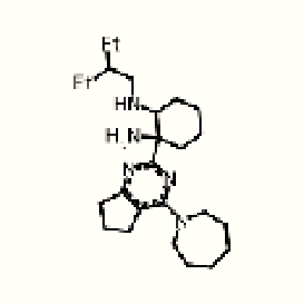 CCC(CC)CNC1CCCCC1(N)c1nc2c(c(N3CCCCCC3)n1)CCC2